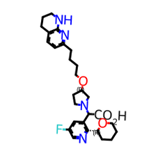 O=C(O)C(c1cc(F)cnc1[C@H]1CCCCO1)N1CC[C@@H](OCCCCc2ccc3c(n2)NCCC3)C1